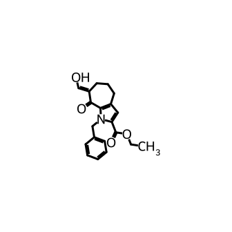 CCOC(=O)c1cc2c(n1Cc1ccccc1)C(=O)/C(=C/O)CCC2